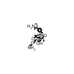 CC[C@@H](C(=O)NCc1ccc(/C(SC)=C(\C)N)cc1)N(CCO)C(=O)C(NC(=O)COCCN)C(C)(C)C